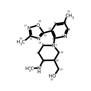 CNC1CCN(c2ncc(C)cc2-c2nc(C)no2)CC1CO